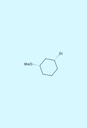 CC[C@@H]1CCC[C@H](OC)C1